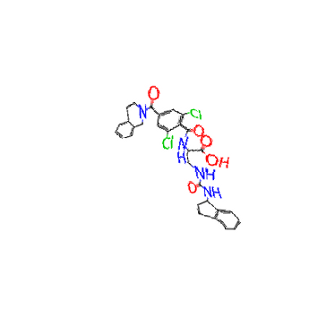 O=C(NCC(NC(=O)c1c(Cl)cc(C(=O)N2CCc3ccccc3C2)cc1Cl)C(=O)O)NC1CCc2ccccc21